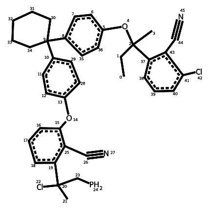 CCC(C)(Oc1ccc(C2(c3ccc(Oc4cccc(C(C)(Cl)CP)c4C#N)cc3)CCCCC2)cc1)c1cccc(Cl)c1C#N